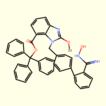 CCOc1nc2cccc(C(=O)OC(c3ccccc3)(c3ccccc3)c3ccccc3)c2n1Cc1ccc(-c2ccccc2C(=N)NO)cc1